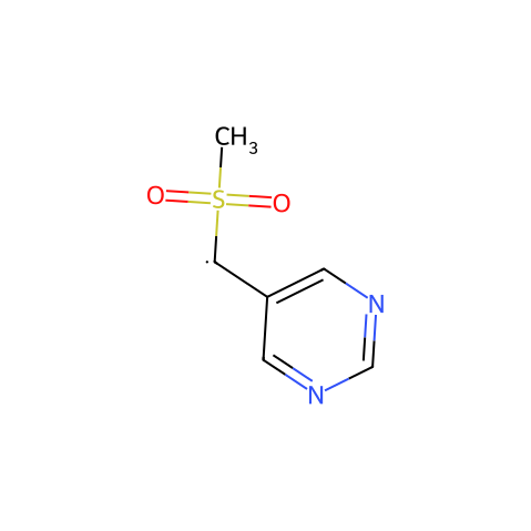 CS(=O)(=O)[CH]c1cncnc1